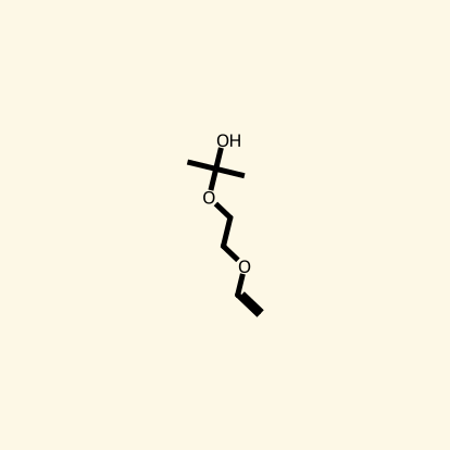 C=COCCOC(C)(C)O